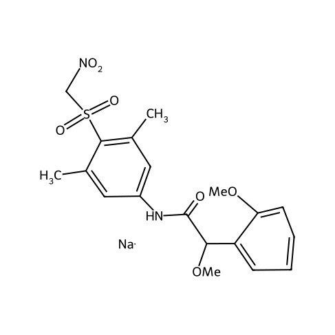 COc1ccccc1C(OC)C(=O)Nc1cc(C)c(S(=O)(=O)C[N+](=O)[O-])c(C)c1.[Na]